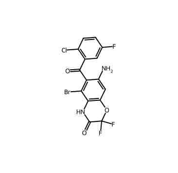 Nc1cc2c(c(Br)c1C(=O)c1cc(F)ccc1Cl)NC(=O)C(F)(F)O2